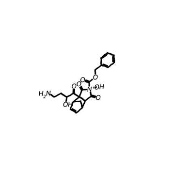 NCCC(O)C(=O)C12C(=O)[N+](O)(C(=O)OCc3ccccc3)C(=O)C1C1C=CC2C1